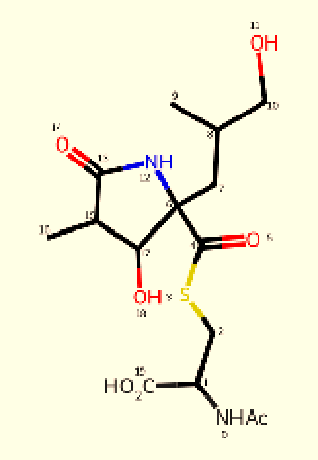 CC(=O)NC(CSC(=O)C1(CC(C)CO)NC(=O)C(C)C1O)C(=O)O